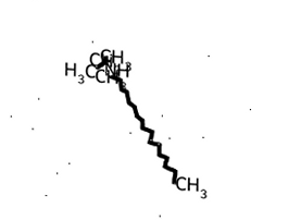 CCCCCCCCCCCCCCCCCCNC(C)C(C)(C)C